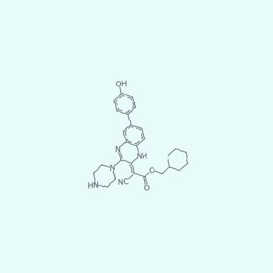 N#CC(C(=O)OCC1CCCCC1)=C1Nc2ccc(-c3ccc(O)cc3)cc2N=C1N1CCNCC1